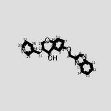 O[C@@H]1c2cc(OCc3cnc4ccccc4n3)ccc2OC[C@H]1Cc1cccnc1